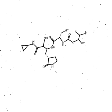 CC(C)C[C@H](NC(=O)OC(C(C)C)C(F)F)C(=O)N[C@@H](C[C@@H]1CCNC1=O)C(O)C(=O)NC1CC1